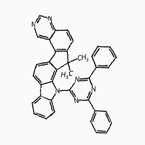 CC1(C)c2ccc3ncncc3c2-c2ccc3c4ccccc4n(-c4nc(-c5ccccc5)nc(-c5ccccc5)n4)c3c21